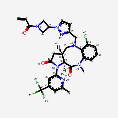 C=CC(=O)N1CC(n2ccc(CN3C[C@H]4CC(=O)N(c5cc(C(F)(F)F)cc(C)n5)[C@@H]4C(=O)N(C)c4cccc(F)c43)n2)C1